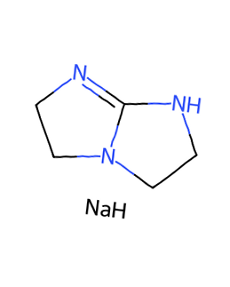 C1CN2CCNC2=N1.[NaH]